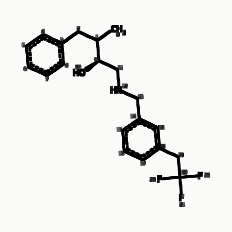 CC(Cc1ccccc1)[C@H](O)CNCc1cccc(CC(F)(F)F)c1